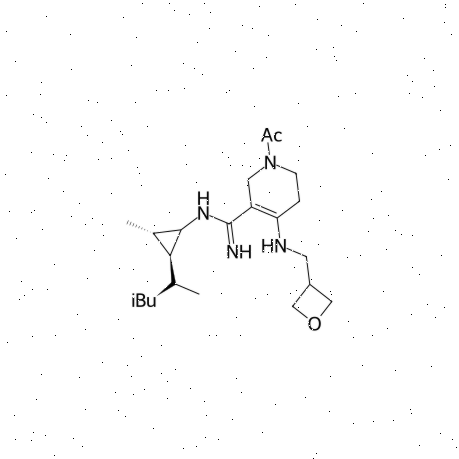 CC[C@H](C)C(C)[C@@H]1C(NC(=N)C2=C(NCC3COC3)CCN(C(C)=O)C2)[C@H]1C